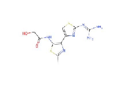 Cc1nc(-c2csc(N=C(N)N)n2)c(NC(=O)CO)s1